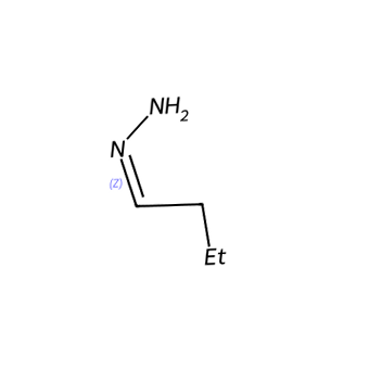 CCC/C=N\N